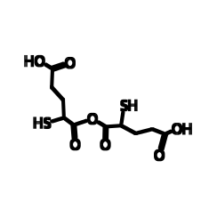 O=C(O)CCC(S)C(=O)OC(=O)C(S)CCC(=O)O